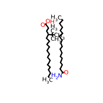 CCCCCCCCCCCCCCC(CCC(=O)O)C(C)(C)C.CCCCCCCCCCCCCCCCCC(N)=O